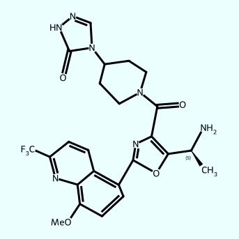 COc1ccc(-c2nc(C(=O)N3CCC(n4cn[nH]c4=O)CC3)c([C@H](C)N)o2)c2ccc(C(F)(F)F)nc12